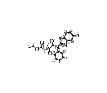 CCOC(=O)CC1(C)Oc2ccccc2N(c2nc3cc(F)ccc3s2)C1=O